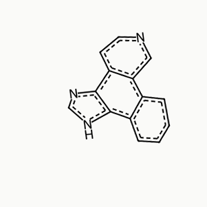 c1ccc2c(c1)c1cnccc1c1nc[nH]c21